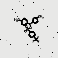 Cc1ccc([I+](OS(=O)(=O)c2ccc(C(F)(F)F)cc2)c2ccc(C)cc2)cc1